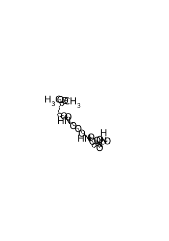 COc1ccc(CCCc2cccc(OCC(=O)NCCCOCCOCCOCCCNC(=O)COc3cccc4c3C(=O)N(C3CCC(=O)NC3=O)C4=O)c2)cc1OC